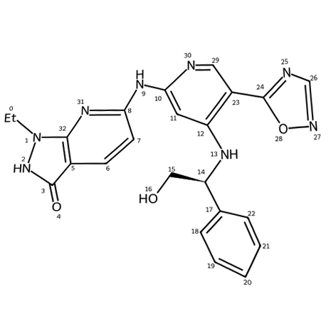 CCn1[nH]c(=O)c2ccc(Nc3cc(N[C@H](CO)c4ccccc4)c(-c4ncno4)cn3)nc21